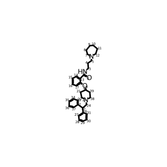 O=C(NCCCN1CCCCCC1)c1ccccc1OC1CCN(CC(c2ccccc2)c2ccccc2)CC1